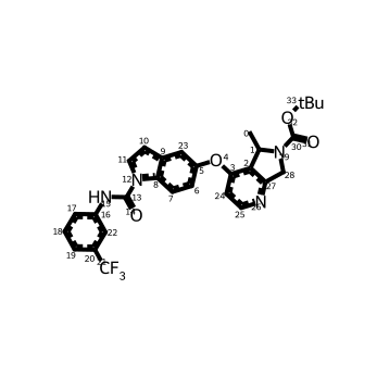 CC1c2c(Oc3ccc4c(ccn4C(=O)Nc4cccc(C(F)(F)F)c4)c3)ccnc2CN1C(=O)OC(C)(C)C